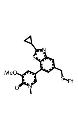 CCSCc1cc(-c2cc(OC)c(=O)n(C)c2)c2sc(C3CC3)nc2c1